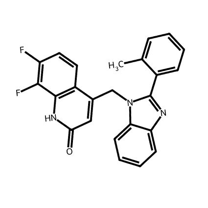 Cc1ccccc1-c1nc2ccccc2n1Cc1cc(=O)[nH]c2c(F)c(F)ccc12